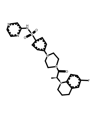 C[C@@H](C(=O)N1CCN(c2ccc(S(=O)(=O)Nc3cnccn3)cc2)CC1)N1CCCc2cc(F)ccc21